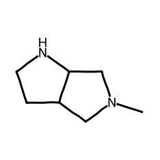 CN1CC2CCNC2C1